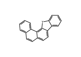 c1ccc2[c](c1)[Y][c]1c-2ccc2ccc3ccccc3c12